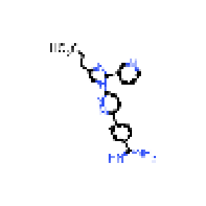 N=C(N)c1ccc(-c2ccc(-n3cc(CCC(=O)O)nc3-c3cccnc3)nn2)cc1